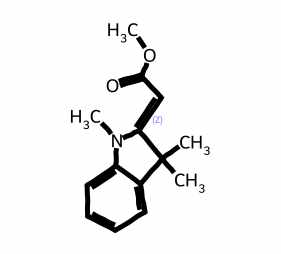 COC(=O)/C=C1\N(C)c2ccccc2C1(C)C